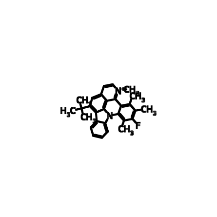 Cc1c(F)c(C)c2c(c1C)c1c3c(cc[n+]1C)cc(C(C)(C)C)c1c4ccccc4n2c13